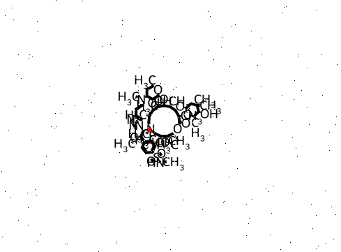 CC[C@H]1OC(=O)[C@H](C)[C@@H](O[C@H]2CC(C)(C)[C@@H](O)[C@H](C)O2)[C@H](C)[C@@H](O[C@@H]2O[C@H](C)C[C@H](N(C)CCc3cn([C@H](CF)[C@H](OC)c4ccc(S(=O)(=O)NC)cc4)nn3)[C@H]2O)[C@](C)(O)C[C@@H](C)CN(C)[C@H](C)[C@@H](O)[C@]1(C)O